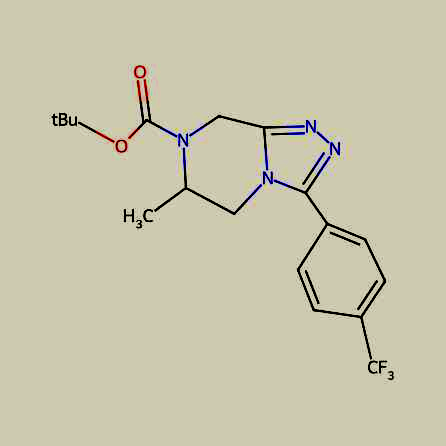 CC1Cn2c(nnc2-c2ccc(C(F)(F)F)cc2)CN1C(=O)OC(C)(C)C